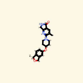 Cc1cc2c(nc1N1CCC(Oc3ccc4c(c3)CO[C@@H]4C)CC1)CNC2=O